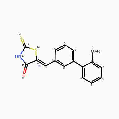 COc1ccccc1-c1cccc(/C=C2\SC(=S)NC2=O)c1